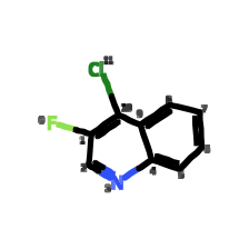 Fc1cnc2ccccc2c1Cl